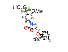 COc1cc(N2CC(CO[Si](C)(C)C(C)(C)C)OC2=O)ccc1C(F)(F)C(=O)O